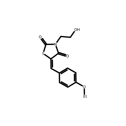 CCOc1ccc(C=C2SC(=O)N(CCO)C2=O)cc1